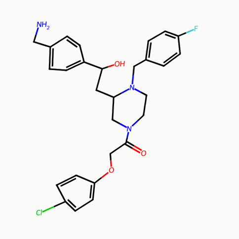 NCc1ccc(C(O)CC2CN(C(=O)COc3ccc(Cl)cc3)CCN2Cc2ccc(F)cc2)cc1